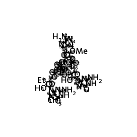 CC[C@H]1[C@@H](O)[C@H](n2c[n+](C)c3c(=O)[nH]c(N)nc32)O[C@@H]1COP(=O)(O)CP(=O)(O)OP(=O)(O)OC[C@H]1O[C@@H](n2cnc3c(N)ncnc32)[C@H](OC)[C@@H]1OP(=O)(O)OC[C@H]1O[C@@H](n2cnc3c(=O)[nH]c(N)nc32)[C@H](O)[C@@H]1O